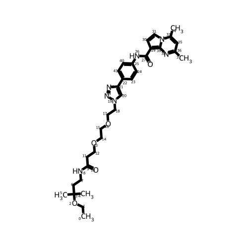 CCOC(C)(C)CCNC(=O)CCOCCOCCn1cc(-c2ccc(NC(=O)c3ccn4c(C)cc(C)nc34)cc2)nn1